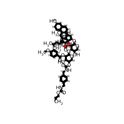 C=CCOC(=O)NCc1ccc(CNC(=O)OC2COC(OC3C(O)COC(O[C@H]4C[C@H]5[C@@H]6CC=C7C[C@@H](O)CC[C@]7(C)C6CC[C@]5(C)[C@@]4(O)[C@H](C)C(=O)CCC(C)C)C3OC(C)=O)C(OC(=O)c3ccc(OC)cc3)C2O)cc1